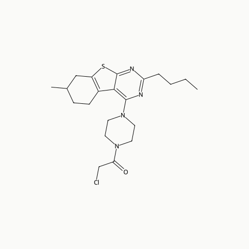 CCCCc1nc(N2CCN(C(=O)CCl)CC2)c2c3c(sc2n1)CC(C)CC3